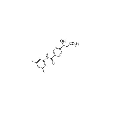 Cc1cc(C)cc(NC(=O)c2ccc(C(O)CC(=O)O)cc2)c1